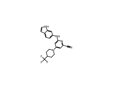 N#Cc1cc(N2CCC(C(F)(F)F)CC2)cc(Nc2ccc3cc[nH]c3c2)n1